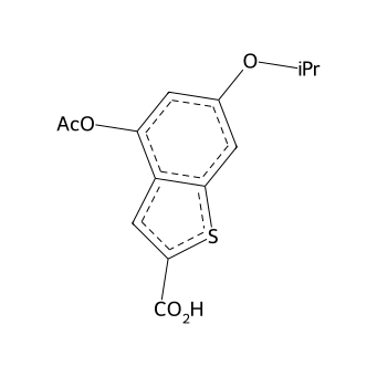 CC(=O)Oc1cc(OC(C)C)cc2sc(C(=O)O)cc12